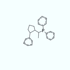 CC(C1CCCC1c1ccccc1)P(c1ccccc1)c1ccccc1